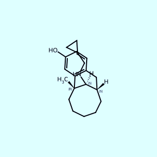 C[C@@]12CCCCC[C@@H](Cc3ccc(O)cc31)[C@@H]2NCC1CC1